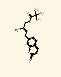 C/C(=C\Cc1ccc2ccc(=O)oc2c1)CCC(=O)C(C)(C)O